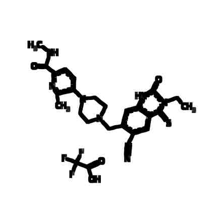 CCn1c(=O)[nH]c2cc(CN3CCN(c4ccc(C(=O)NC)nc4C)CC3)c(C#N)cc2c1=S.O=C(O)C(F)(F)F